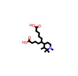 CC1C(C(CCCCC(=O)O)CCCC(=O)O)CCN(C)C1(C)C